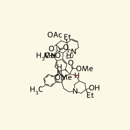 CC[C@]1(O)C[C@H]2CN(CCc3c([nH]c4ccc(C)cc34)[C@@](C(=O)OC)(C3C=C4C(=CC3OC)N(C)[C@@]35O[C@]3(C(=O)OC)[C@H](OC(C)=O)[C@]3(CC)C=CCN6CC[C@]45[C@@H]63)C2)C1